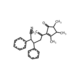 C=C(CC(c1ccccc1)C(C#N)c1ccccc1)C1=C(C)C(C)C(C)C1=O